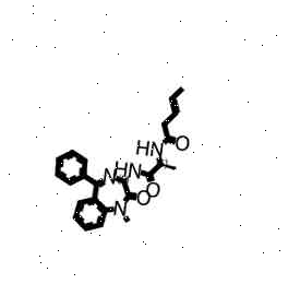 CC=CCC(=O)N[C@@H](C)C(=O)N[C@H]1N=C(c2ccccc2)c2ccccc2N(C)C1=O